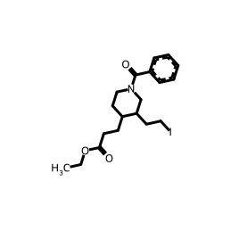 CCOC(=O)CCC1CCN(C(=O)c2ccccc2)CC1CCI